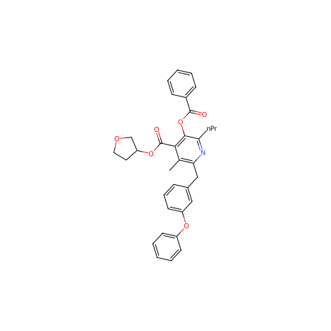 CCCc1nc(Cc2cccc(Oc3ccccc3)c2)c(C)c(C(=O)OC2CCOC2)c1OC(=O)c1ccccc1